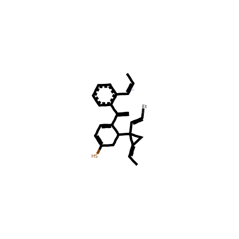 C=C(C1=CC=C(S)CC1C1(C=CCC)CC1=CC)c1ccccc1/C=C\C